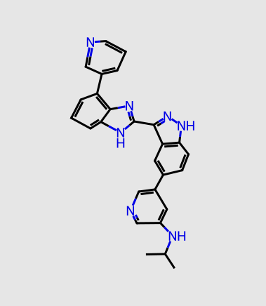 CC(C)Nc1cncc(-c2ccc3[nH]nc(-c4nc5c(-c6cccnc6)cccc5[nH]4)c3c2)c1